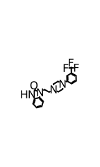 O=c1[nH]c2ccccc2n1CCN1CCN(c2cccc(C(F)(F)F)c2)CC1